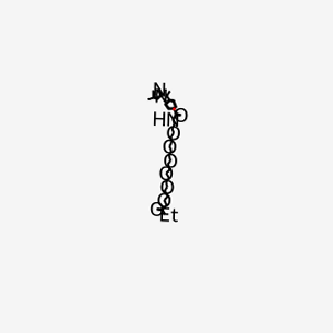 CCC(=O)COCCOCCOCCOCCOCCOCCNC(=O)c1ccc(C(C)n2cc(C)cn2)cc1